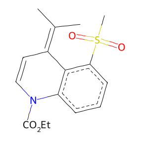 CCOC(=O)N1C=CC(=C(C)C)c2c1cccc2S(C)(=O)=O